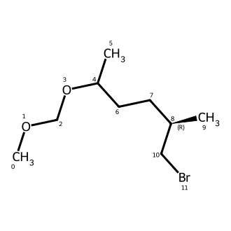 COCOC(C)CC[C@@H](C)CBr